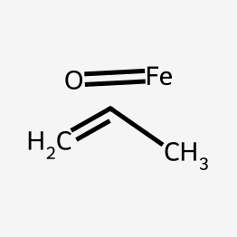 C=CC.[O]=[Fe]